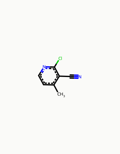 Cc1ccnc(Cl)c1C#N